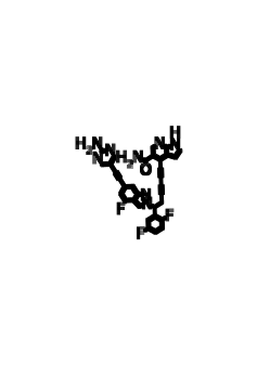 NC(=O)c1cnc2[nH]ccc2c1C#CC#CCC(c1cc(F)ccc1F)n1cc2c(F)cc(C#Cc3cnc(N)nc3)cc2n1